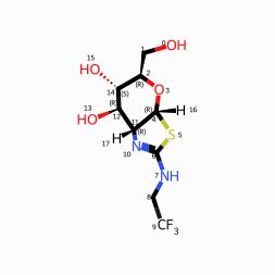 OC[C@H]1O[C@@H]2SC(NCC(F)(F)F)=N[C@@H]2[C@@H](O)[C@@H]1O